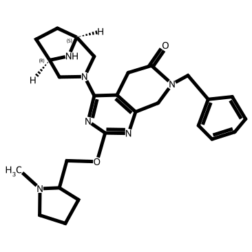 CN1CCCC1COc1nc2c(c(N3C[C@H]4CC[C@@H](C3)N4)n1)CC(=O)N(Cc1ccccc1)C2